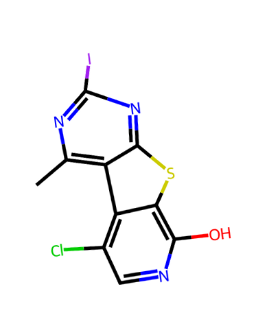 Cc1nc(I)nc2sc3c(O)ncc(Cl)c3c12